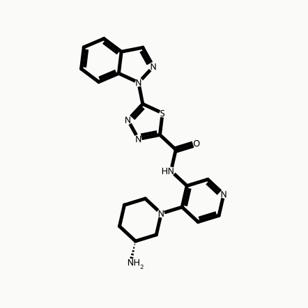 N[C@@H]1CCCN(c2ccncc2NC(=O)c2nnc(-n3ncc4ccccc43)s2)C1